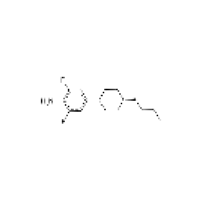 CCCC[C@H]1CC[C@H](c2cc(F)c(N)c(F)c2)CC1